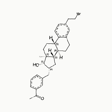 CC(=O)c1cccc(C[C@H]2C[C@H]3[C@@H]4CCc5cc(CCBr)ccc5[C@H]4CC[C@]3(C)[C@H]2O)c1